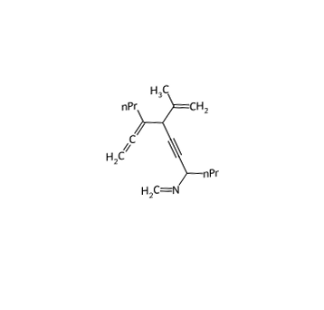 C=C=C(CCC)C(C#CC(CCC)N=C)C(=C)C